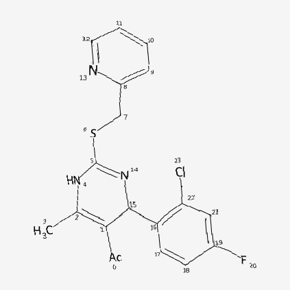 CC(=O)C1=C(C)NC(SCc2ccccn2)=NC1c1ccc(F)cc1Cl